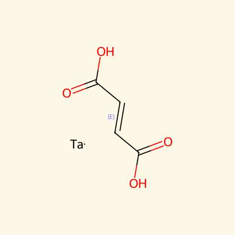 O=C(O)/C=C/C(=O)O.[Ta]